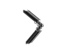 [Ba+2].[Ba+2].[Ba+2].[Ba+2].[Ba+2].[Ba+2].[Ba+2].[Ba+2].[Ba+2].[Ba+2].[Ba+2].[Ba+2].[Ba+2].[Ba+2].[Ba+2].[Ba+2].[Ba+2].[Ba+2].[Ba+2].[Ba+2].[Ba+2].[Ba+2].[Ba+2].[Ba+2].[Ba+2].[Ba+2].[Ba+2].[Ba+2].[Ba+2].[Ba+2].[Ba+2].[Ba+2].[Ba+2].[Ba+2].[Ba+2].[Ba+2].[Ba+2].[O]=[Ti]([O-])[O-].[O]=[Ti]([O-])[O-].[O]=[Ti]([O-])[O-].[O]=[Ti]([O-])[O-].[O]=[Ti]([O-])[O-]